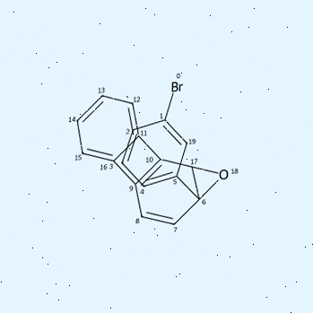 Brc1cccc(C23C=CC4=C(c5ccccc54)C2O3)c1